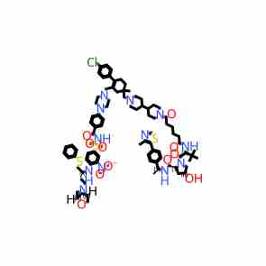 Cc1ncsc1-c1ccc([C@H](C)NC(=O)[C@@H]2C[C@@H](O)CN2C(=O)[C@@H](NC(=O)CCCCC(=O)N2CCC(C3CCN(CC4(C)CCC(c5ccc(Cl)cc5)=C(CN5CCN(c6ccc(C(=O)NS(=O)(=O)c7ccc(N[C@H](CCN8C[C@H]9C[C@@H]8CO9)CSc8ccccc8)c([N+](=O)[O-])c7)cc6)CC5)C4)CC3)CC2)C(C)(C)C)cc1